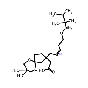 CC(C)C(C)(C)[SiH2]OCC/C=C\CC1(CC(=O)O)CCC2(C1)OCC(C)(C)CO2